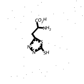 NC(Cc1nnc(S)s1)C(=O)O